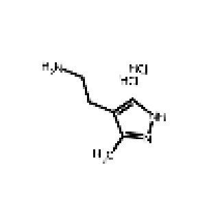 Cc1n[nH]cc1CCN.Cl.Cl